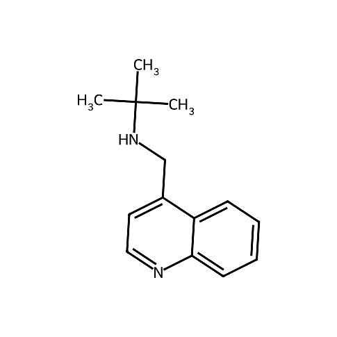 CC(C)(C)NCc1ccnc2ccccc12